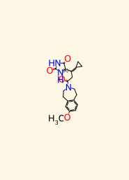 COc1ccc2c(c1)CCN(C(=O)CC(=C1CC1)[C@H]1NC(=O)NC1=O)CC2